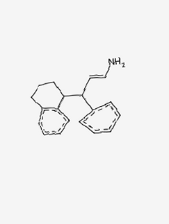 N/C=C/C(c1ccccc1)C1CCCc2ccccc21